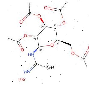 Br.CC(=O)OC[C@H]1O[C@@H](NC(=N)[SeH])[C@H](OC(C)=O)[C@@H](OC(C)=O)[C@@H]1OC(C)=O